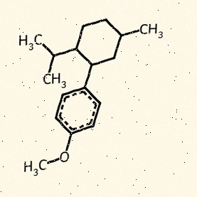 COc1ccc(C2CC(C)CCC2C(C)C)cc1